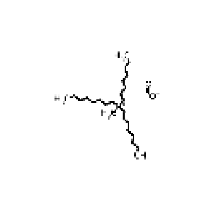 CCCCCCCC[N+](C)(CCCCCCCC)CCCCCCCC.O=C[O-]